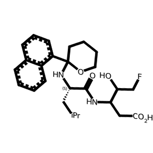 CC(C)C[C@H](NC1(c2cccc3ccccc23)CCCCO1)C(=O)NC(CC(=O)O)C(O)CF